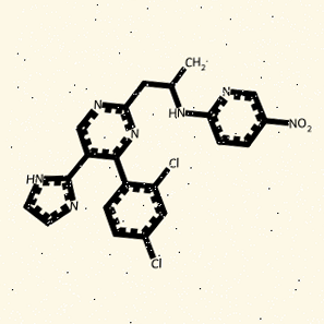 [CH2]C(Cc1ncc(-c2ncc[nH]2)c(-c2ccc(Cl)cc2Cl)n1)Nc1ccc([N+](=O)[O-])cn1